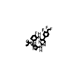 C=CC(=O)Nc1ccc(F)c(Nc2nc(Nc3cnn(C)c3)ncc2-c2ccc(C(F)F)c(F)c2)c1